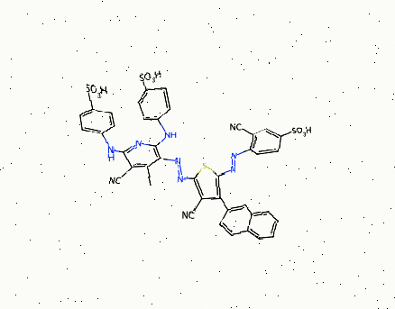 Cc1c(C#N)c(Nc2ccc(S(=O)(=O)O)cc2)nc(Nc2ccc(S(=O)(=O)O)cc2)c1/N=N/c1sc(/N=N/c2ccc(S(=O)(=O)O)cc2C#N)c(-c2ccc3ccccc3c2)c1C#N